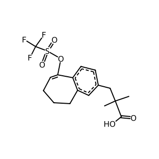 CC(C)(Cc1ccc2c(c1)CCCC=C2OS(=O)(=O)C(F)(F)F)C(=O)O